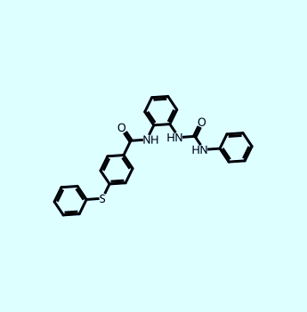 O=C(Nc1ccccc1)Nc1ccccc1NC(=O)c1ccc(Sc2ccccc2)cc1